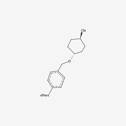 CCCCCc1ccc(CO[C@H]2CC[C@H](C#N)CC2)cc1